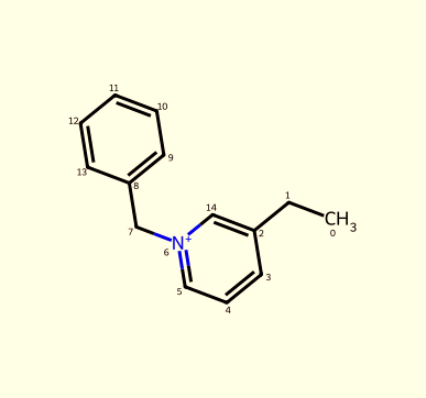 CCc1ccc[n+](Cc2ccccc2)c1